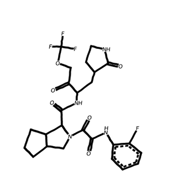 O=C(Nc1ccccc1F)C(=O)N1CC2CCCC2C1C(=O)NC(CC1CCNC1=O)C(=O)COC(F)(F)F